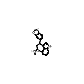 CNCCC(c1ccc2c(c1)OCO2)c1c[nH]c2cccc(Cl)c12